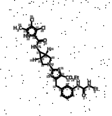 CCNC(=O)Nc1cccc(Cc2nc(N3C[C@@H]4C(NC(=O)c5[nH]c(C)c(Cl)c5Cl)[C@@H]4C3)sc2C(=O)OCC)c1